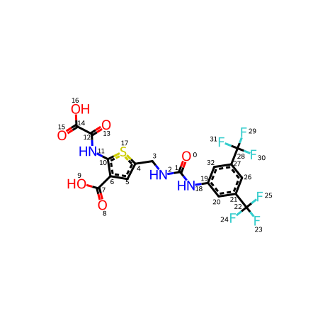 O=C(NCc1cc(C(=O)O)c(NC(=O)C(=O)O)s1)Nc1cc(C(F)(F)F)cc(C(F)(F)F)c1